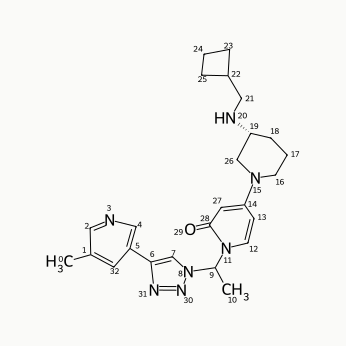 Cc1cncc(-c2cn(C(C)n3ccc(N4CCC[C@@H](NCC5CCC5)C4)cc3=O)nn2)c1